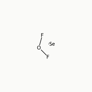 FOF.[Se]